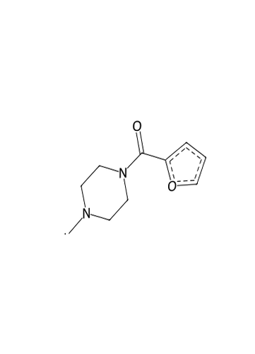 [CH2]N1CCN(C(=O)c2ccco2)CC1